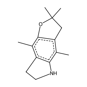 Cc1c2c(c(C)c3c1NCC3)OC(C)(C)C2